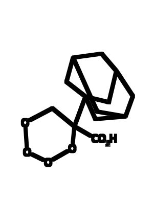 O=C(O)C1(C23CC4CC(CC(C4)C2)C3)COOOO1